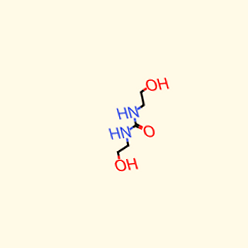 O=C(NCCO)NCCO